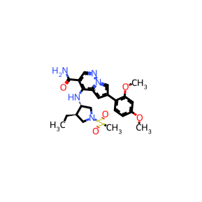 CC[C@@H]1CN(S(C)(=O)=O)C[C@H]1Nc1c(C(N)=O)cnn2cc(-c3ccc(OC)cc3OC)cc12